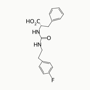 O=C(NCCc1ccc(F)cc1)N[C@@H](Cc1ccccc1)C(=O)O